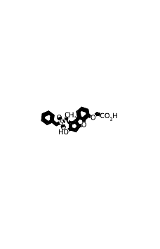 CN(C1C(O)CC2Oc3c(OCC(=O)O)cccc3C21)S(=O)(=O)Cc1ccccc1